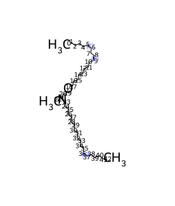 CCCCC/C=C\C/C=C\CCCCCCCCOCCN(C)CCCCCCCCCCCCC/C=C\CCCCC